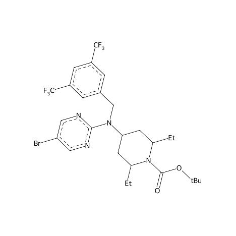 CCC1CC(N(Cc2cc(C(F)(F)F)cc(C(F)(F)F)c2)c2ncc(Br)cn2)CC(CC)N1C(=O)OC(C)(C)C